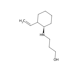 C=CC1CCCC[C@H]1NCCCO